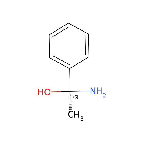 C[C@](N)(O)c1ccccc1